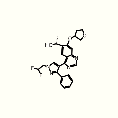 C[C@@H](O)c1cc2c(-c3cn(CC(F)F)nc3-c3ccccc3)ncnc2cc1OC1CCOC1